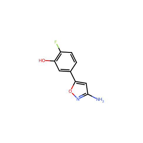 Nc1cc(-c2ccc(F)c(O)c2)on1